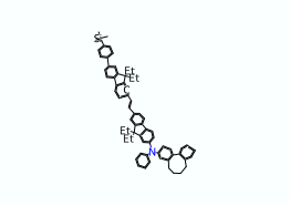 CCC1(CC)c2cc(/C=C/c3ccc4c(c3)C(CC)(CC)c3cc(N(c5ccccc5)c5ccc6c(c5)CCCCc5ccccc5-6)ccc3-4)ccc2-c2ccc(-c3ccc([Si](C)(C)C)cc3)cc21